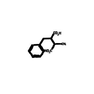 N#CC(C(=O)O)C(Cc1ccccc1)C(=O)O